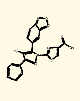 Cc1c(-c2ccccc2)nn(-c2nc(C(=O)O)cs2)c1-c1ccc2nonc2c1